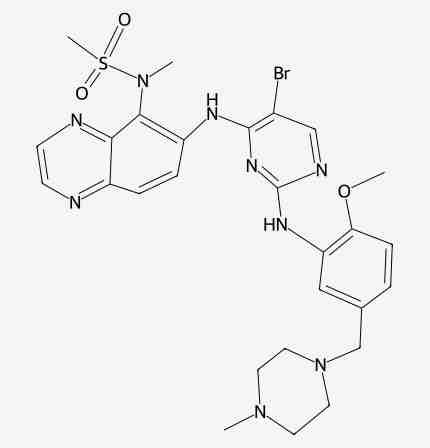 COc1ccc(CN2CCN(C)CC2)cc1Nc1ncc(Br)c(Nc2ccc3nccnc3c2N(C)S(C)(=O)=O)n1